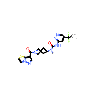 CN(C(=O)Nc1cc(C(F)(F)C(F)(F)F)cnn1)C1CC2(C1)CN(C(=O)c1cnn3ccsc13)C2